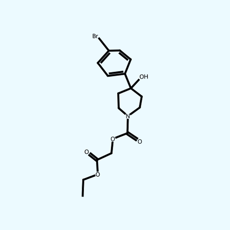 CCOC(=O)COC(=O)N1CCC(O)(c2ccc(Br)cc2)CC1